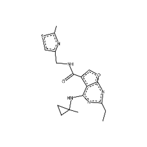 CCc1nc(NC2(C)CC2)c2c(C(=O)NCc3csc(C)n3)coc2n1